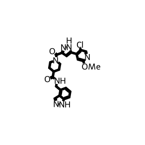 COc1cc(-c2cc(C(=O)N3CCC(C(=O)NCc4cccc5[nH]ncc45)CC3)n[nH]2)c(Cl)cn1